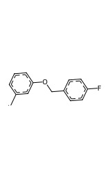 [CH2]c1cccc(OCc2ccc(F)cc2)c1